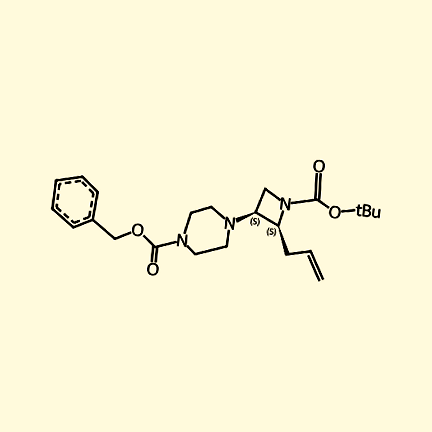 C=CC[C@H]1[C@@H](N2CCN(C(=O)OCc3ccccc3)CC2)CN1C(=O)OC(C)(C)C